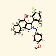 COc1ccc(CN2Cc3c(c(Br)cc4cncc(F)c34)C2c2cc(F)ccc2Cl)cc1